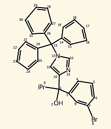 CC(C)C(O)(c1cccc(Br)c1)c1cn(C(c2ccccc2)(c2ccccc2)c2ccccc2)cn1